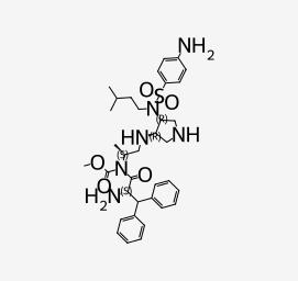 COC(=O)N(C(=O)[C@@H](N)C(c1ccccc1)c1ccccc1)[C@@H](C)CN[C@@H]1CNC[C@H]1N(CCC(C)C)S(=O)(=O)c1ccc(N)cc1